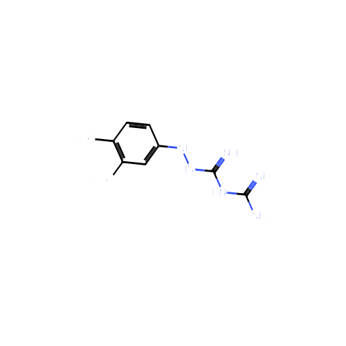 Cc1ccc(NNC(=N)NC(=N)N)cc1C